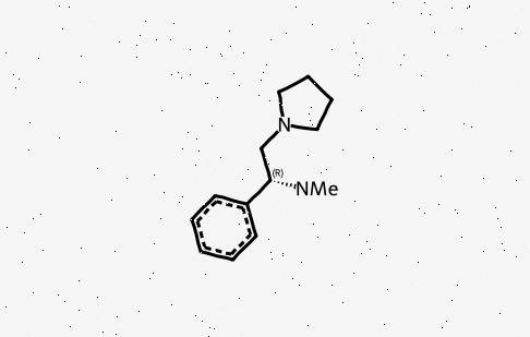 CN[C@@H](CN1CCCC1)c1ccccc1